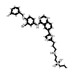 CCCS(=O)(=O)CCNCCCc1nc(-c2ccc3ncnc(Nc4ccc(OCc5cccc(F)c5)c(Br)c4)c3c2)cs1